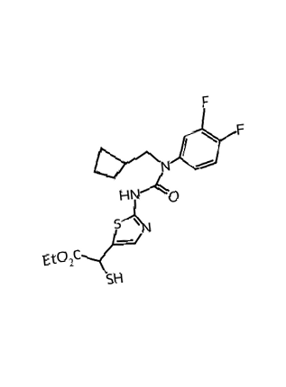 CCOC(=O)C(S)c1cnc(NC(=O)N(CC2CCC2)c2ccc(F)c(F)c2)s1